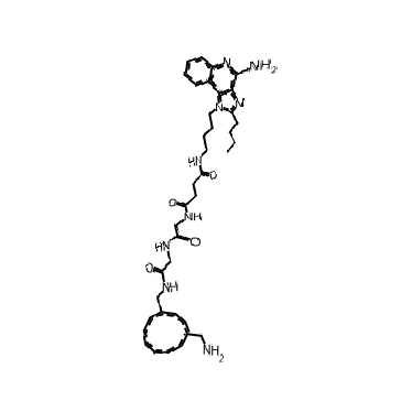 CCCCc1nc2c(N)nc3ccccc3c2n1CCCCNC(=O)CCC(=O)NCC(=O)NCC(=O)NCc1ccccccc(CN)cc1